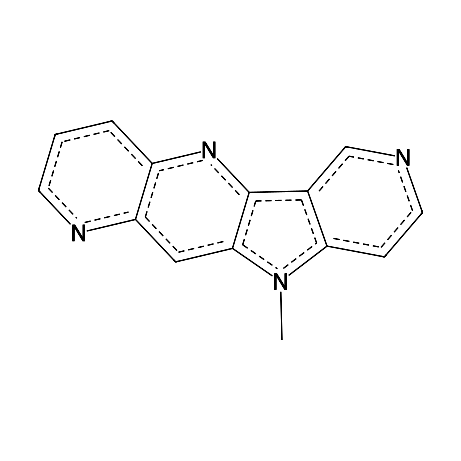 Cn1c2ccncc2c2nc3cccnc3cc21